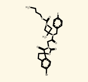 CCCCOC(=O)N1CC(C)(N(Cc2ccc(F)cc2)C(=O)CN2C(=O)OC3(CCc4cc(Br)ccc43)C2=O)C1